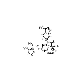 CNc1nc(COC(=N)N2CCCC2C(F)(F)F)nc2c1C(C)(C)C(=O)N2c1ccc2c(cnn2C(C)C)c1